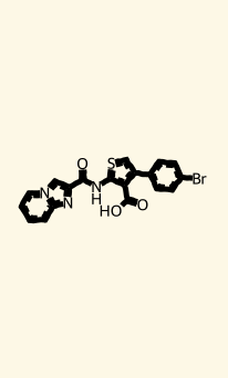 O=C(Nc1scc(-c2ccc(Br)cc2)c1C(=O)O)c1cn2ccccc2n1